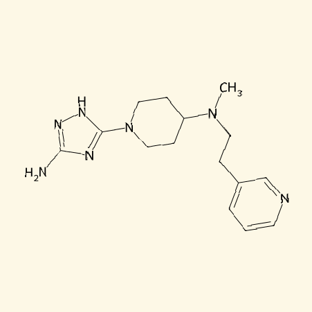 CN(CCc1cccnc1)C1CCN(c2nc(N)n[nH]2)CC1